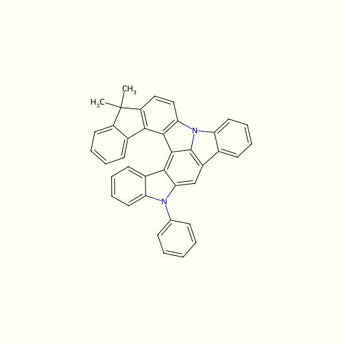 CC1(C)c2ccccc2-c2c1ccc1c2c2c3c4ccccc4n(-c4ccccc4)c3cc3c4ccccc4n1c32